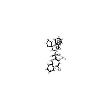 CC1=C(S(=O)(=O)N(Cc2ccccc2)CC2(N(C)C)CCCC2)Sc2ccccc2C(Cl)=C1